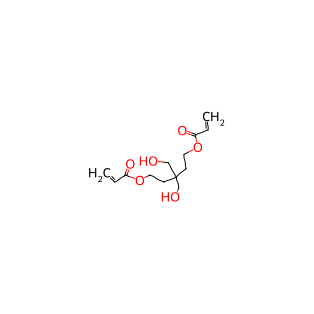 C=CC(=O)OCCC(CO)(CO)CCOC(=O)C=C